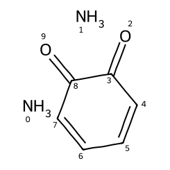 N.N.O=C1C=CC=CC1=O